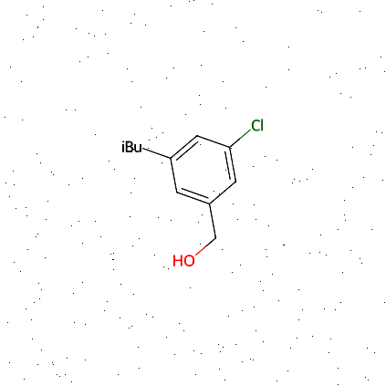 CCC(C)c1cc(Cl)cc(CO)c1